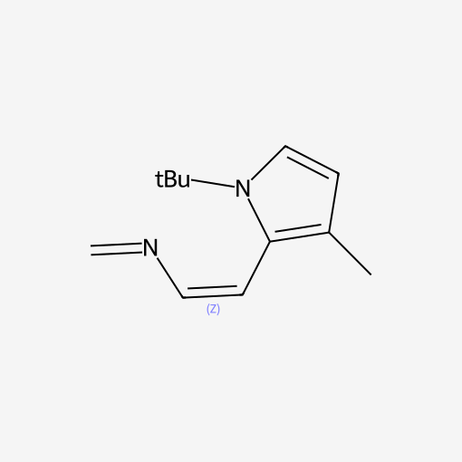 C=N/C=C\c1c(C)ccn1C(C)(C)C